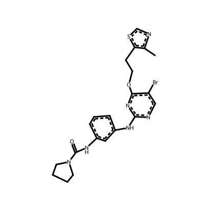 Cc1ncsc1CCOc1nc(Nc2cccc(NC(=O)N3CCCC3)c2)ncc1Br